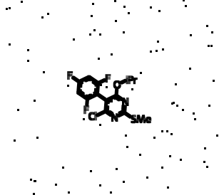 CSc1nc(Cl)c(-c2c(F)cc(F)cc2F)c(OC(C)C)n1